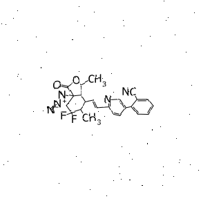 CC1OC(=O)C2(N=[N+]=[N-])CC(F)(F)C(C)C(C=Cc3ccc(-c4ccccc4C#N)cn3)C12